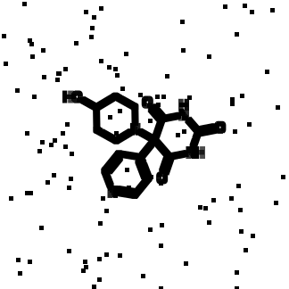 O=C1NC(=O)C(c2ccncc2)(N2CCC(O)CC2)C(=O)N1